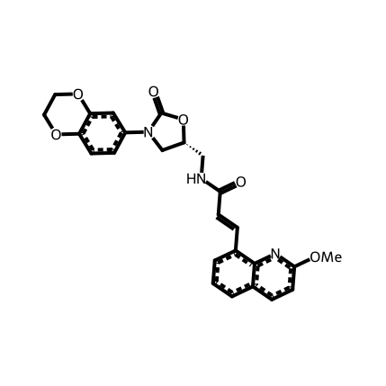 COc1ccc2cccc(/C=C/C(=O)NC[C@@H]3CN(c4ccc5c(c4)OCCO5)C(=O)O3)c2n1